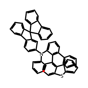 c1ccc(-c2cccc(N(c3ccccc3)c3ccc4c(c3)C3(c5ccccc5-c5ccccc53)c3ccccc3-4)c2-c2cccc3sc4ccccc4c23)cc1